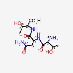 C[C@@H](O)[C@H](N)C(=O)N[C@@H](CC(N)=O)C(=O)N[C@H](C(=O)O)[C@@H](C)O